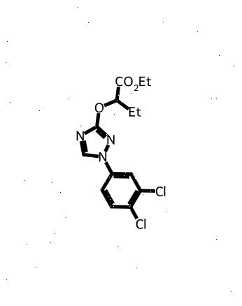 CCOC(=O)C(CC)Oc1ncn(-c2ccc(Cl)c(Cl)c2)n1